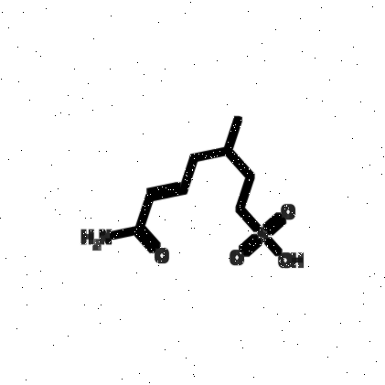 CC(CC=CC(N)=O)CCS(=O)(=O)O